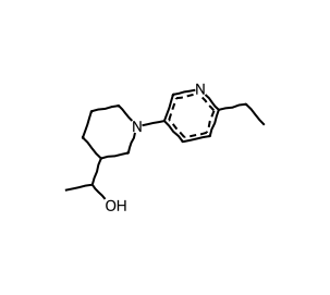 CCc1ccc(N2CCCC(C(C)O)C2)cn1